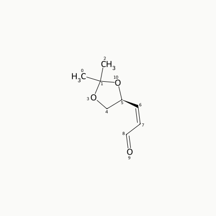 CC1(C)OC[C@H](/C=C\C=O)O1